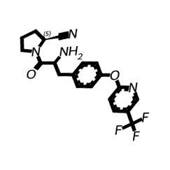 N#C[C@@H]1CCCN1C(=O)C(N)Cc1ccc(Oc2ccc(C(F)(F)F)cn2)cc1